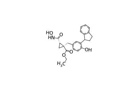 CCOC(=O)[C@@]1(Cc2ccc(O)c(C3CCc4ccccc43)c2)C[C@@H]1C(=O)NO